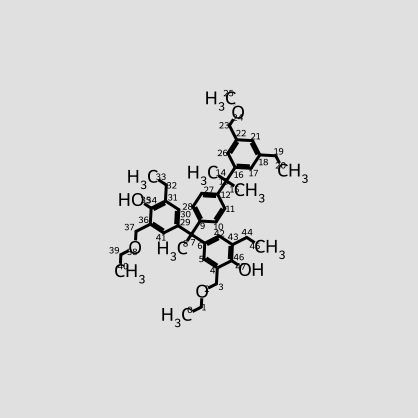 CCOCc1cc(C(C)(c2ccc(C(C)(C)c3cc(CC)cc(COC)c3)cc2)c2cc(CC)c(O)c(COCC)c2)cc(CC)c1O